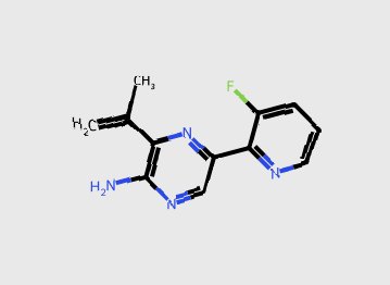 C=C(C)c1nc(-c2ncccc2F)cnc1N